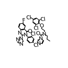 CCCN(CCOc1c(Cl)cc(Cl)cc1Cl)C(=O)n1ccnc1.O=c1c2cc(F)ccc2nc(-n2cncn2)n1-c1ccc(Cl)cc1Cl